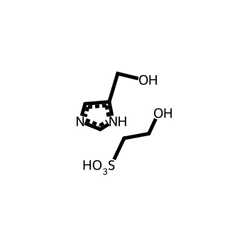 O=S(=O)(O)CCO.OCc1cnc[nH]1